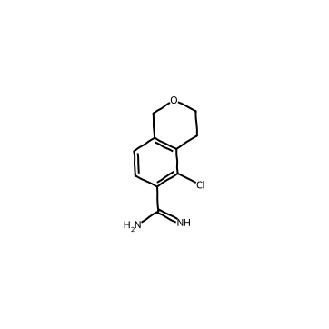 N=C(N)c1ccc2c(c1Cl)CCOC2